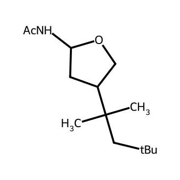 CC(=O)NC1CC(C(C)(C)CC(C)(C)C)CO1